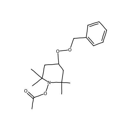 CC(=O)ON1C(C)(C)CC(OOCc2ccccc2)CC1(C)C